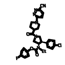 CCN(C(=O)Oc1ccc(F)cc1)[C@@H]1CN(C(=O)C2CCN(c3ccc(C#N)nn3)CC2)C[C@H]1c1ccc(Cl)cc1